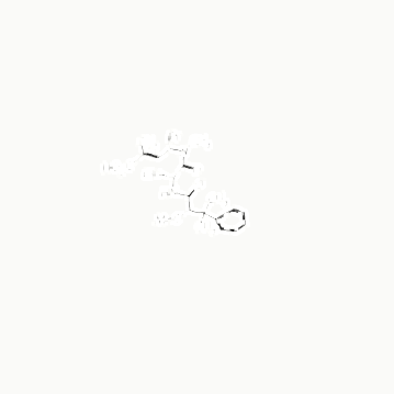 CO[C@H](C(=O)N[C@H](C(=O)N(C)[C@H](C=C(C)C(=O)O)C(C)C)C(C)(C)C)C(C)(C)c1ccccc1